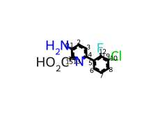 Nc1ccc(-c2cccc(Cl)c2F)nc1C(=O)O